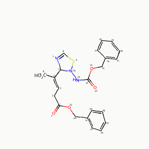 O=C(CC=C(C(=O)O)C1N=CSN1NC(=O)OCc1ccccc1)OCc1ccccc1